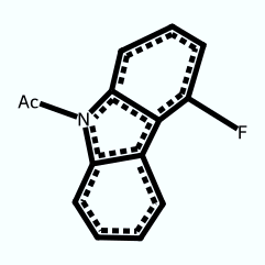 CC(=O)n1c2ccccc2c2c(F)cccc21